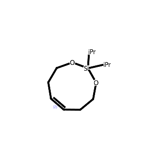 CC(C)[Si]1(C(C)C)OCC/C=C\CCO1